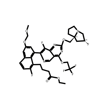 CCOC(=O)CCCc1c(F)ccc2cc(OCOC)cc(-c3ncc4c(OCC(F)(F)F)nc(OC[C@@]56CCCN5C[C@H](F)C6)nc4c3F)c12